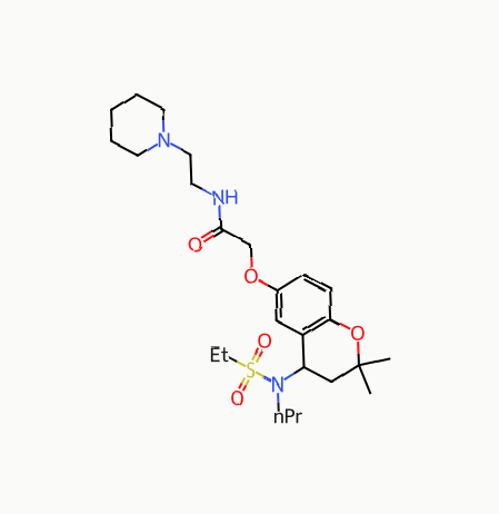 CCCN(C1CC(C)(C)Oc2ccc(OCC(=O)NCCN3CCCCC3)cc21)S(=O)(=O)CC